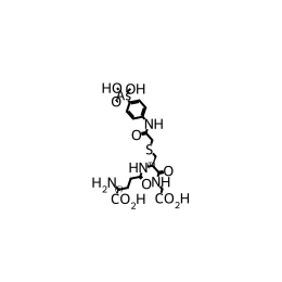 N[C@@H](CCC(=O)N[C@@H](CSCC(=O)Nc1ccc([As](=O)(O)O)cc1)C(=O)NCC(=O)O)C(=O)O